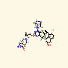 C#Cc1c(F)ccc2cc(O)cc(-c3ccc4c(N5CC6CCC(C5)N6)nc(OCC5(CN6CCC7(CC6)CNC7=O)CC5)nc4c3F)c12